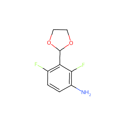 Nc1ccc(F)c(C2OCCO2)c1F